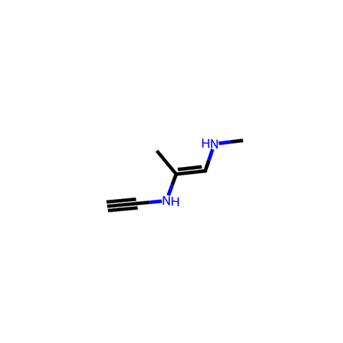 C#CN/C(C)=C/NC